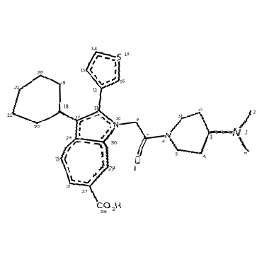 CN(C)C1CCN(C(=O)Cn2c(-c3ccsc3)c(C3CCCCC3)c3ccc(C(=O)O)cc32)CC1